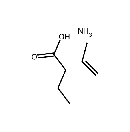 C=CC.CCCC(=O)O.N